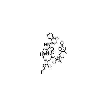 C=CCOC(=O)N1CC[C@H]2CC[C@@H](C(=O)N[C@@H]3CCOc4ccccc43)N2C(=O)[C@@H](NC(=O)[C@H](C)N(C)Cc2oc(=O)oc2C)C1